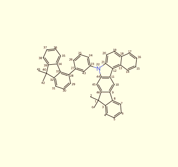 CC1(C)c2ccccc2-c2cc3c4c5ccccc5ccc4n(-c4cccc(-c5cccc6c5-c5ccccc5C6(C)C)c4)c3cc21